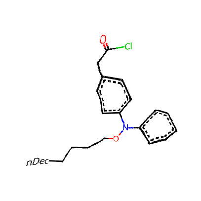 CCCCCCCCCCCCCCON(c1ccccc1)c1ccc(CC(=O)Cl)cc1